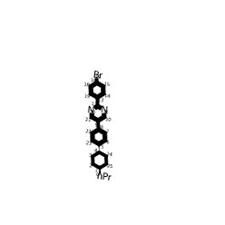 CCC[C@H]1CC[C@H](c2ccc(-c3cnc(-c4ccc(Br)cc4)nc3)cc2)CC1